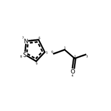 CCC(C)=O.c1cnsc1